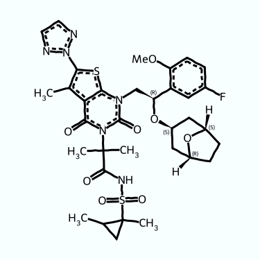 COc1ccc(F)cc1[C@H](Cn1c(=O)n(C(C)(C)C(=O)NS(=O)(=O)C2(C)CC2C)c(=O)c2c(C)c(-n3nccn3)sc21)O[C@@H]1C[C@H]2CC[C@@H](C1)O2